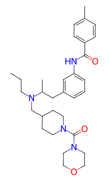 CCCN(CC1CCN(C(=O)N2CCOCC2)CC1)C(C)Cc1cccc(NC(=O)c2ccc(C)cc2)c1